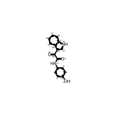 O=C(Nc1ccc(O)cc1)C(=O)c1c[nH]c2ccccc12